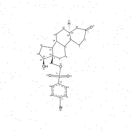 O=C1CCC2C3CC[C@@]4(COS(=O)(=O)c5ccc(Br)cc5)C(CC[C@@H]4O)C3CC[C@H]2C1